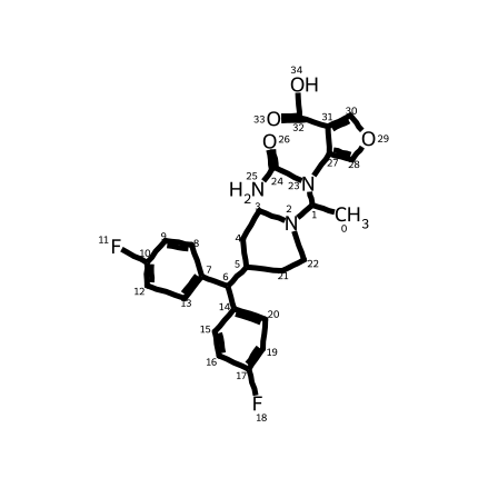 CC(N1CCC(C(c2ccc(F)cc2)c2ccc(F)cc2)CC1)N(C(N)=O)c1cocc1C(=O)O